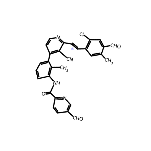 Cc1cc(/C=C/c2nccc(-c3cccc(NC(=O)c4ccc(C=O)cn4)c3C)c2C#N)c(Cl)cc1C=O